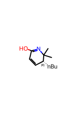 CCCC[C@@H]1C=CC(O)=NC1(C)C